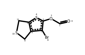 O=COc1sc2c(c1Br)CSC2